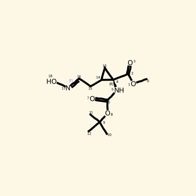 COC(=O)[C@@]1(NC(=O)OC(C)(C)C)CC1C/C=N/O